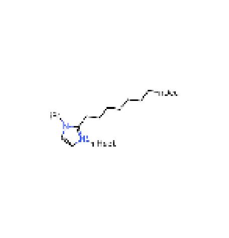 CCCCCCCCCCCCCCCCCc1n(C(C)C)cc[n+]1CCCCCCC